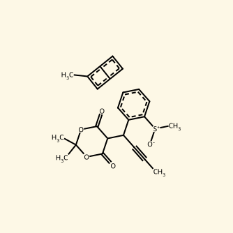 CC#CC(c1ccccc1[S+](C)[O-])C1C(=O)OC(C)(C)OC1=O.Cc1cc2ccc1-2